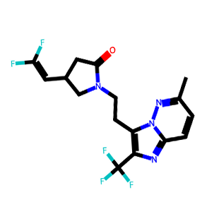 Cc1ccc2nc(C(F)(F)F)c(CCN3CC(C=C(F)F)CC3=O)n2n1